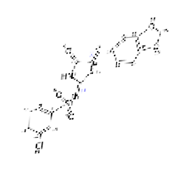 O=C1N/C(=N\S(=O)(=O)c2cccc(Cl)c2)S/C1=C\c1ccc2c(c1)OCO2